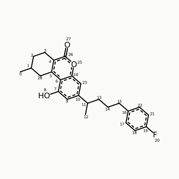 CC1CCc2c(c3c(O)cc(C(C)CCCc4ccc(F)cc4)cc3oc2=O)C1